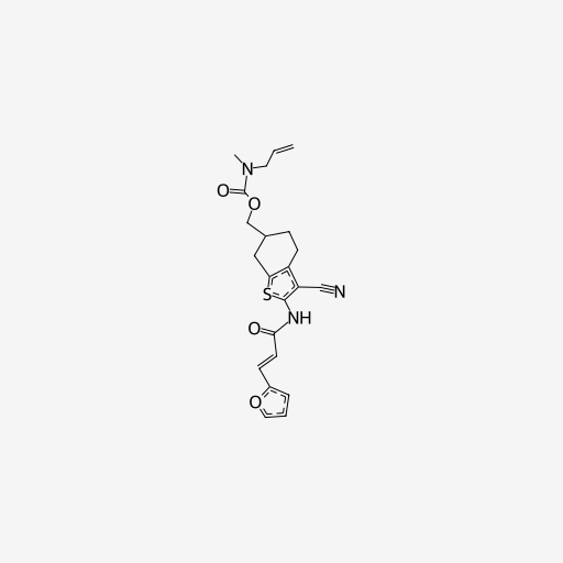 C=CCN(C)C(=O)OCC1CCc2c(sc(NC(=O)C=Cc3ccco3)c2C#N)C1